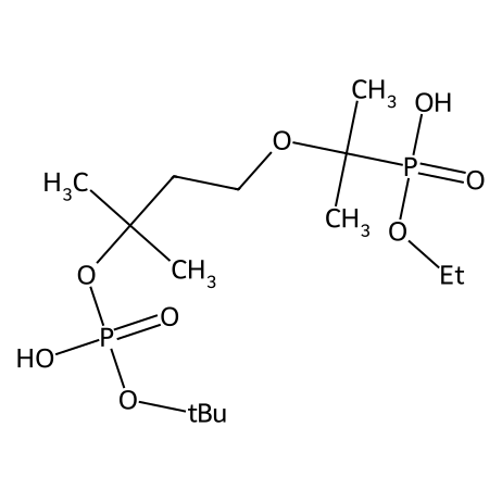 CCOP(=O)(O)C(C)(C)OCCC(C)(C)OP(=O)(O)OC(C)(C)C